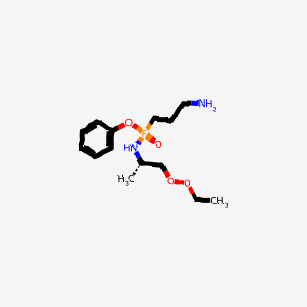 CCOOC[C@H](C)NP(=O)(CCCN)Oc1ccccc1